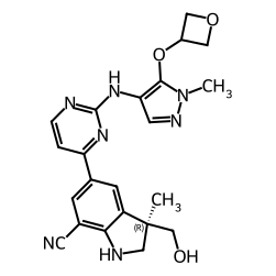 Cn1ncc(Nc2nccc(-c3cc(C#N)c4c(c3)[C@@](C)(CO)CN4)n2)c1OC1COC1